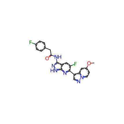 COc1ccn2ncc(-c3nc4[nH]nc(NC(=O)Cc5ccc(F)cc5)c4cc3F)c2c1